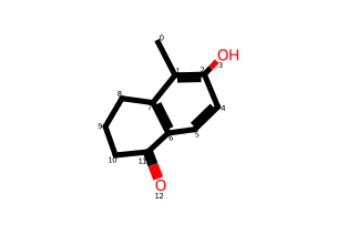 Cc1c(O)ccc2c1CCCC2=O